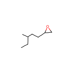 CCC(C)CCC1CO1